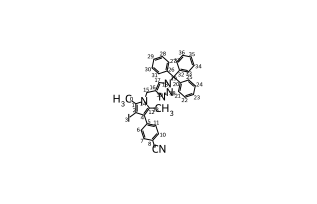 Cc1c(I)c(-c2ccc(C#N)cc2)c(C)n1Cc1cn(C(c2ccccc2)(c2ccccc2)c2ccccc2)nn1